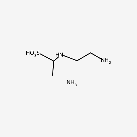 CC(NCCN)S(=O)(=O)O.N